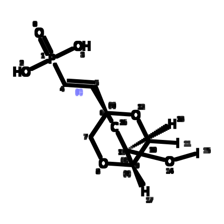 O=P(O)(O)/C=C/[C@@]12CO[C@@H](C(I)O1)[C@H](OI)C2